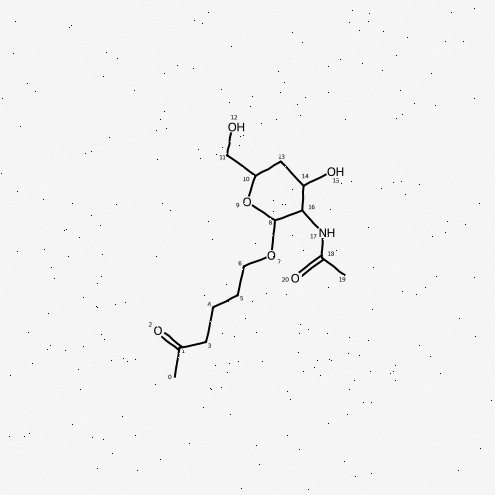 CC(=O)CCCCOC1OC(CO)CC(O)C1NC(C)=O